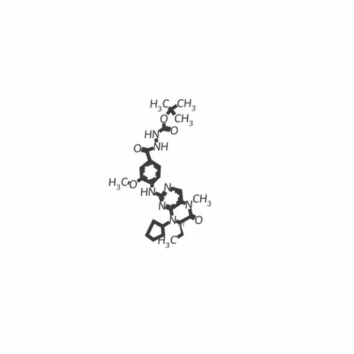 CC[C@@H]1C(=O)N(C)c2cnc(Nc3ccc(C(=O)NNC(=O)OC(C)(C)C)cc3OC)nc2N1C1CCCC1